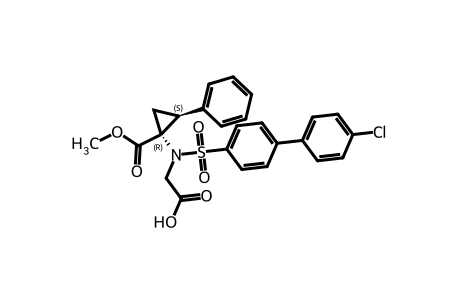 COC(=O)[C@@]1(N(CC(=O)O)S(=O)(=O)c2ccc(-c3ccc(Cl)cc3)cc2)C[C@H]1c1ccccc1